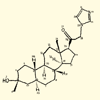 C[C@@]1(O)CC[C@H]2[C@@H](CC[C@@H]3[C@@H]2CC[C@]2(C)[C@@H](C(=O)Cn4ccnc4)CC[C@@H]32)C1